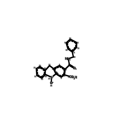 O=C(O)c1cc2c(cc1C(=O)NCc1ccccc1)Cc1ccccc1[S+]2[O-]